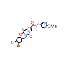 COc1ccc(CNC(=O)c2cn3c(=O)n(Cc4ccc(Cl)c(Br)c4)c(=O)c(C)c3s2)cn1